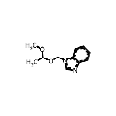 COC(C)OCn1cnc2ccccc21